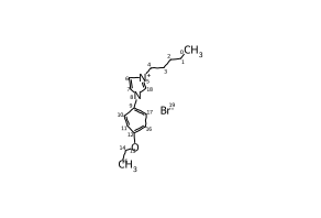 CCCCC[n+]1ccn(-c2ccc(OCC)cc2)c1.[Br-]